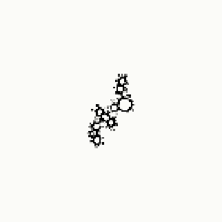 c1cccc2cc(-c3c4ccccc4c(-c4ccc5oc6ccccc6c5c4)c4ccccc34)ccc2cc(-c2ccc3ccccc3c2)cc1